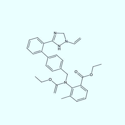 C=CN1CN=C(c2ccccc2-c2ccc(CN(C(=C)OCC)c3c(C)cccc3C(=O)OCC)cc2)N1